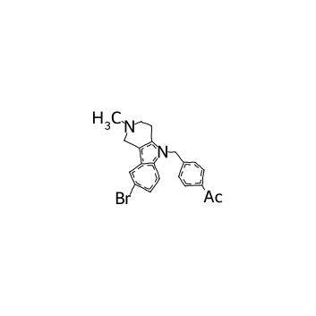 CC(=O)c1ccc(Cn2c3c(c4cc(Br)ccc42)CN(C)CC3)cc1